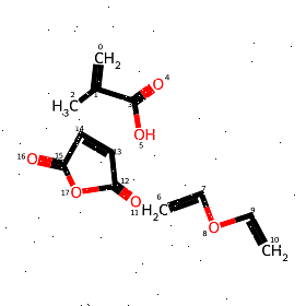 C=C(C)C(=O)O.C=COC=C.O=C1C=CC(=O)O1